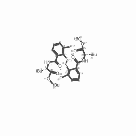 CCC(C)[C@H](NC(=O)c1cccc(F)c1SSc1c(F)cccc1C(=O)N[C@H](C(=O)OC(C)(C)C)C(C)CC)C(=O)OC(C)(C)C